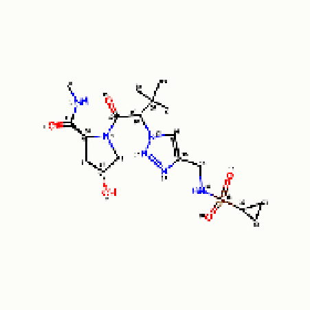 CNC(=O)[C@@H]1C[C@@H](O)CN1C(=O)[C@@H](n1cc(CNS(=O)(=O)C2CC2)nn1)C(C)(C)C